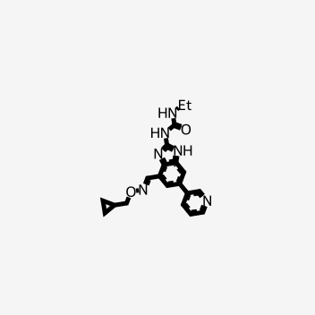 CCNC(=O)Nc1nc2c(/C=N/OCC3CC3)cc(-c3cccnc3)cc2[nH]1